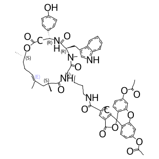 CC(=O)Oc1ccc2c(c1)Oc1cc(OC(C)=O)ccc1C21OC(=O)c2cc(C(=O)NCCCC[C@@H]3NC(=O)[C@@H](C)C/C(C)=C/CC[C@H](C)OC(=O)C[C@H](c4ccc(O)cc4)NC(=O)[C@@H](Cc4c[nH]c5ccccc45)N(C)C3=O)ccc21